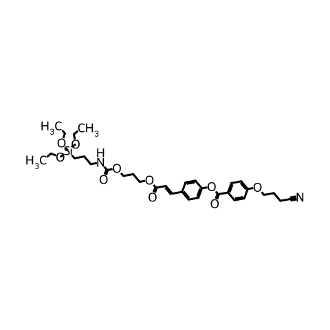 CCO[Si](CCCNC(=O)OCCCOC(=O)C=Cc1ccc(OC(=O)c2ccc(OCCCC#N)cc2)cc1)(OCC)OCC